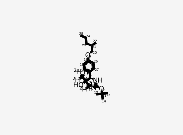 [2H]C([2H])([2H])C(O)([C@H](NC(=O)OC(C)(C)C)c1ccc(OCC(C)CCC)cc1)C([2H])([2H])[2H]